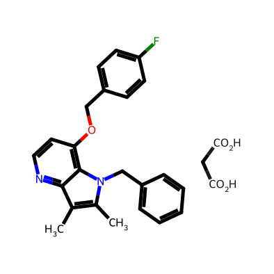 Cc1c(C)n(Cc2ccccc2)c2c(OCc3ccc(F)cc3)ccnc12.O=C(O)CC(=O)O